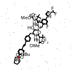 COC(=O)NC(C(=O)N[C@@H](Cc1ccc(C#Cc2ccc(N3CC4CCC(C3)N4C(=O)OC(C)(C)C)nc2)cc1)[C@@H](O)CN(Cc1c(F)cc(-c2ccn(C(F)F)n2)cc1F)NC(=O)C(NC(=O)OC)C(C)(C)C(F)(F)F)C(C)(C)C(F)(F)F